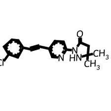 CC1(C)CC(=O)N(c2ccc(C#Cc3cccc(Cl)c3)cn2)N1